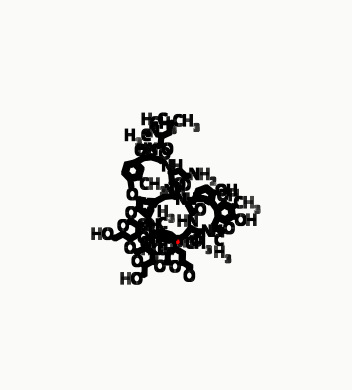 CC(=O)C1NC(=O)C2NC(=O)C(NC(=O)C3NC(=O)C(CC(N)=O)NC(=O)C(NC(=O)C(CC(C)C)N(C)C)C(O)c4ccc(c(C)c4)Oc4cc3cc(c4OC3OC(CO)C(OC4OC(CO)C(OC5OC(C=O)=CC(O)C5C)C(O)C4O)C(O)C3O)Oc3ccc(cc3C)C2C)c2ccc(O)c(c2)-c2c1cc(O)c(C)c2O